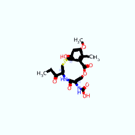 CCC(=O)/C1=C/S/C=C2/C(=C(C)C(OC)=CC2O)C(=O)O/C=C(/NC(=O)O)C(=O)N1